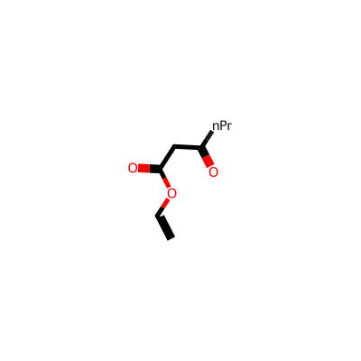 C=COC(=O)CC(=O)CCC